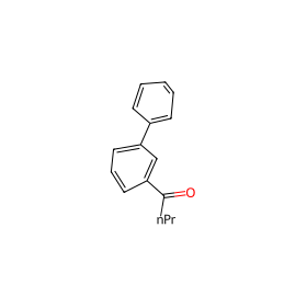 CCCC(=O)c1cccc(-c2ccccc2)c1